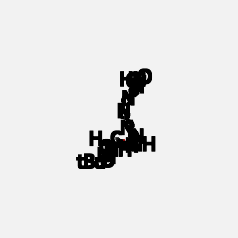 Cc1cc(-c2n[nH]c3ncc(-c4ccc(C5CCN(CC6CCN(c7ccc(N8CCC(=O)NC8=O)cc7)CC6)CC5)cn4)cc23)ccc1CNC(=O)c1noc(C(C)(C)C)n1